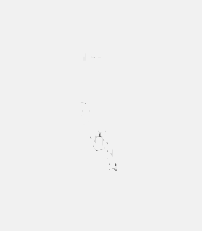 CCCCCCCCCCCCCCCCCC(=O)OC[C@@H]1CC[C@H](n2ccc(/N=C/N(C)C)nc2=O)O1